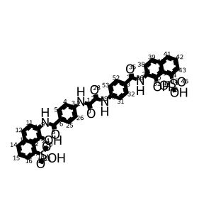 O=C(Nc1ccc(C(=O)Nc2ccc3cccc(S(=O)(=O)O)c3c2O)cc1)C(=O)Nc1ccc(C(=O)Nc2ccc3cccc(S(=O)(=O)O)c3c2O)cc1